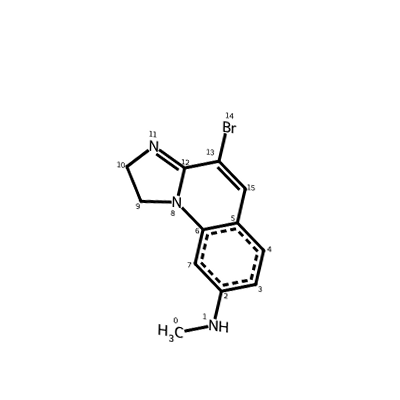 CNc1ccc2c(c1)N1CCN=C1C(Br)=C2